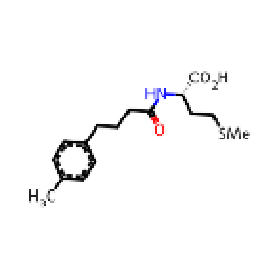 CSCC[C@H](NC(=O)CCCc1ccc(C)cc1)C(=O)O